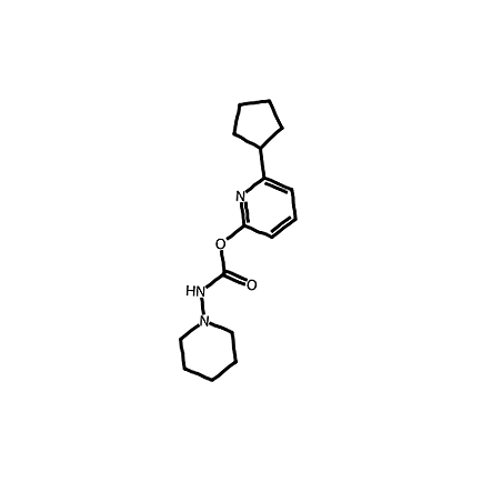 O=C(NN1CCCCC1)Oc1cccc(C2CCCC2)n1